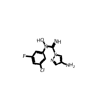 N=C(N(O)c1cc(F)cc(Cl)c1)n1cc(N)cn1